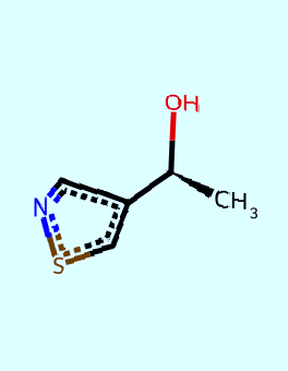 C[C@H](O)c1cnsc1